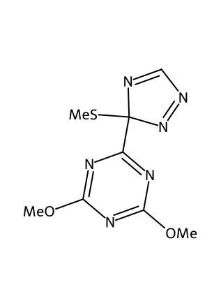 COc1nc(OC)nc(C2(SC)N=CN=N2)n1